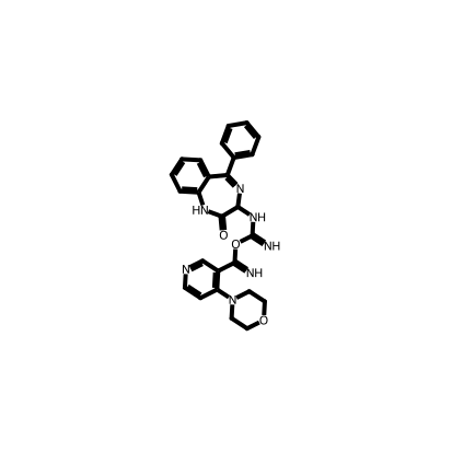 N=C(NC1N=C(c2ccccc2)c2ccccc2NC1=O)OC(=N)c1cnccc1N1CCOCC1